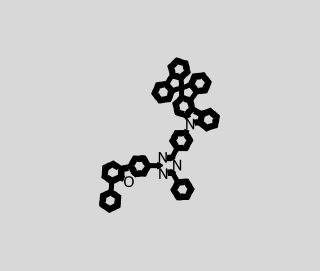 c1ccc(-c2nc(-c3ccc(-n4c5ccccc5c5c6c(ccc54)C4(c5ccccc5-c5ccccc54)c4ccccc4-6)cc3)nc(-c3ccc4c(c3)oc3c(-c5ccccc5)cccc34)n2)cc1